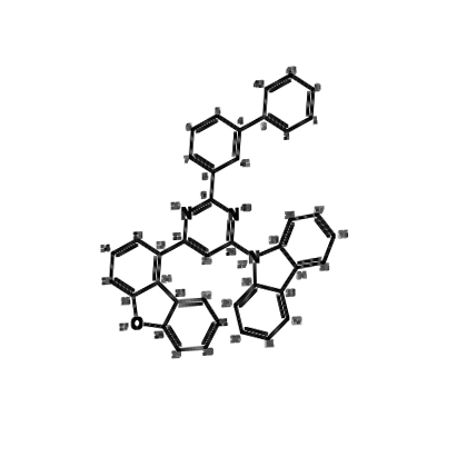 c1ccc(-c2cccc(-c3nc(-c4cccc5oc6ccccc6c45)cc(-n4c5ccccc5c5ccccc54)n3)c2)cc1